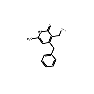 CCc1c(Cc2ccccc2)cc(C)[nH]c1=O